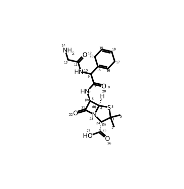 CC1(C)S[C@@H]2[C@H](NC(=O)C(NC(=O)CN)C3=CCC=CC3)C(=O)N2[C@H]1C(=O)O